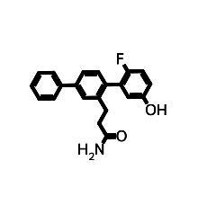 NC(=O)CCc1cc(-c2ccccc2)ccc1-c1cc(O)ccc1F